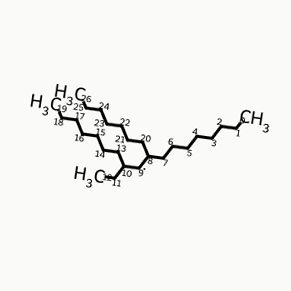 CCCCCCCCC([CH]C(CC)CCCCCCC)CCCCCCC